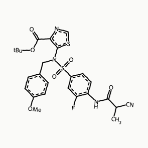 COc1ccc(CN(c2scnc2C(=O)OC(C)(C)C)S(=O)(=O)c2ccc(NC(=O)C(C)C#N)c(F)c2)cc1